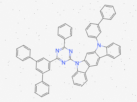 c1ccc(-c2cc(-c3ccccc3)cc(-c3nc(-c4ccccc4)nc(-n4c5ccccc5c5cc6c7ccccc7n(-c7cccc(-c8ccccc8)c7)c6cc54)n3)c2)cc1